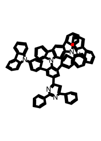 c1ccc(-c2cc(-c3cc(-c4ccc(-n5c6ccccc6c6ccccc65)cc4)c(-n4c5ccccc5c5cc6c7ccccc7n(-c7ccccc7)c6cc54)c(-c4ccc(-n5c6ccccc6c6ccccc65)cc4)c3)nc(-c3ccccc3)n2)cc1